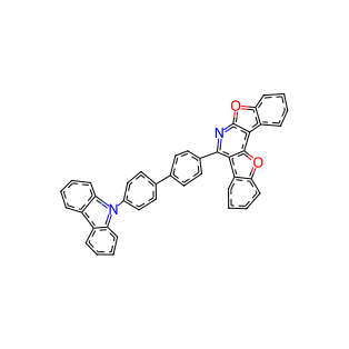 c1ccc2c(c1)oc1c2c(-c2ccc(-c3ccc(-n4c5ccccc5c5ccccc54)cc3)cc2)nc2oc3ccccc3c21